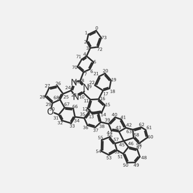 c1ccc(-c2ccc(-c3nc(-c4ccccc4-c4ccccc4)nc(-c4cccc5oc6ccc(-c7ccc(-c8ccc9c(c8)C8(c%10ccccc%10-c%10ccccc%108)c8ccccc8-9)cc7)cc6c45)n3)cc2)cc1